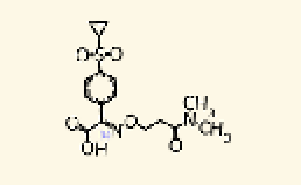 CN(C)C(=O)CCO/N=C(/C(=O)O)c1ccc(S(=O)(=O)C2CC2)cc1